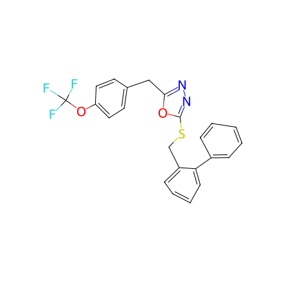 FC(F)(F)Oc1ccc(Cc2nnc(SCc3ccccc3-c3ccccc3)o2)cc1